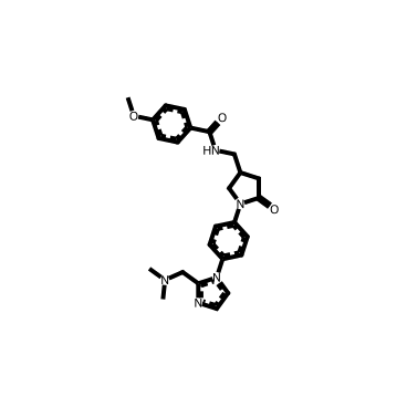 COc1ccc(C(=O)NCC2CC(=O)N(c3ccc(-n4ccnc4CN(C)C)cc3)C2)cc1